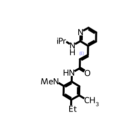 CCc1cc(NC)c(NC(=O)/C=C/c2cccnc2NC(C)C)cc1C